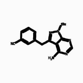 CC(C)(C)n1nc(Cc2cccc(C#N)c2)c2c(N)ncnc21